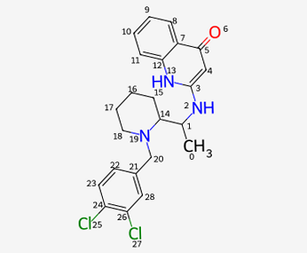 CC(Nc1cc(=O)c2ccccc2[nH]1)C1CCCCN1Cc1ccc(Cl)c(Cl)c1